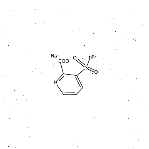 CCCS(=O)(=O)c1cccnc1C(=O)[O-].[Na+]